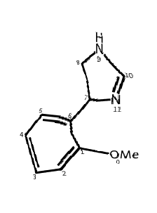 COc1ccccc1C1CNC=N1